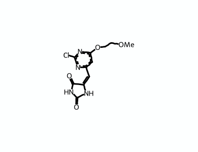 COCCOc1cc(/C=C2/NC(=O)NC2=O)nc(Cl)n1